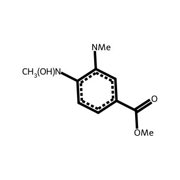 CNc1cc(C(=O)OC)ccc1N(C)O